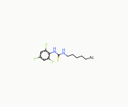 CC(=O)CCCCCNC(=S)Nc1c(F)cc(F)cc1F